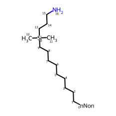 CCCCCCCCCCCCCCCCCC[Si](C)(C)CCCN